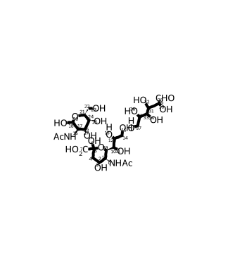 CC(=O)N[C@@H]1[C@@H](O)CC(O)(C(=O)O)O[C@H]1C(O)C(O)CO.CC(=O)N[C@H]1C(O)O[C@H](CO)[C@H](O)[C@@H]1O.O=CC(O)C(O)C(O)C(O)CO